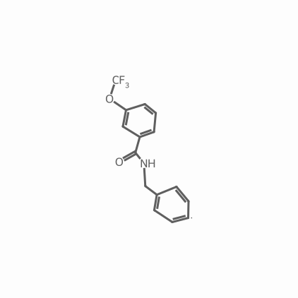 O=C(NCc1cc[c]cc1)c1cccc(OC(F)(F)F)c1